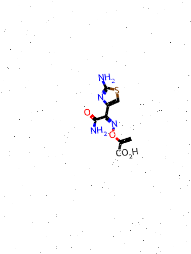 C=C(ON=C(C(N)=O)c1csc(N)n1)C(=O)O